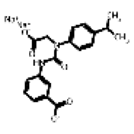 CC(C)c1ccc(N(CC(=O)[O-])C(=O)Nc2cccc(C(=O)[O-])c2)cc1.[Na+].[Na+]